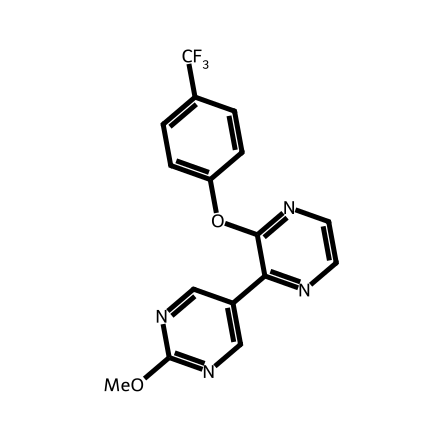 COc1ncc(-c2nccnc2Oc2ccc(C(F)(F)F)cc2)cn1